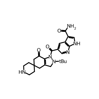 CC(C)(C)N1CC2=C(C(=O)CC3(CCNCC3)C2)N1C(=O)c1cnc2[nH]cc(C(N)=O)c2c1